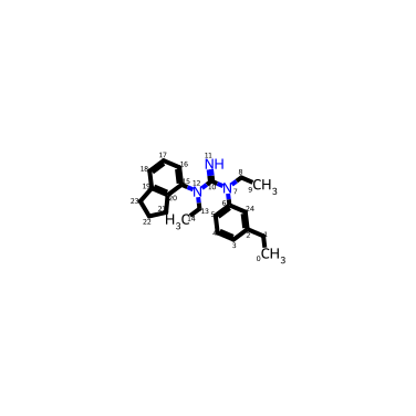 CCc1cccc(N(CC)C(=N)N(CC)c2cccc3c2CCC3)c1